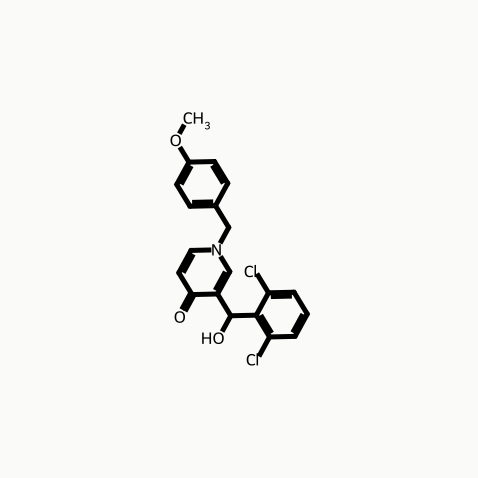 COc1ccc(Cn2ccc(=O)c(C(O)c3c(Cl)cccc3Cl)c2)cc1